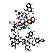 CCCC[C@@H](C(=O)N1C[C@H](O)C[C@@H]1C(=O)N[C@@H](CC(=O)O)C(=O)N[C@H](C(=O)N(C)C(Cc1ccccc1)C(C)=O)C(C)C)N(C)C(=O)C(Cc1ccccc1)N(C)C(=O)[C@H](Cc1cc(F)c(F)c(F)c1)NC(=O)CSC[C@H](NC(=O)[C@@H](NC(=O)[C@H](Cc1ccccc1F)NC(=O)[C@H](Cc1c[nH]c2ccccc12)NC(=O)[C@H]1COCCN1C(=O)[C@@H](N)Cc1ccc(O)cc1)C1CC1C)C(=O)NCC(N)=O